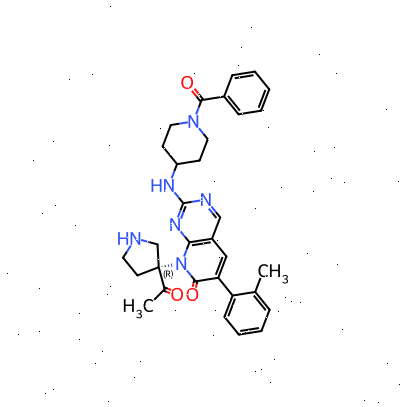 CC(=O)[C@@]1(n2c(=O)c(-c3ccccc3C)cc3cnc(NC4CCN(C(=O)c5ccccc5)CC4)nc32)CCNC1